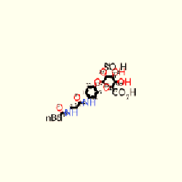 CCCCC(=O)NCCC(=O)Nc1ccc(OC2OC(C(=O)O)C(O)C(O)C2OS(=O)(=O)O)cc1